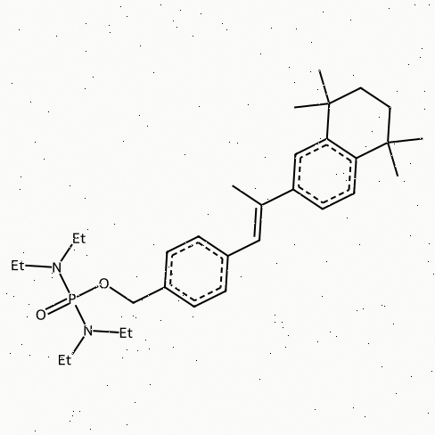 CCN(CC)P(=O)(OCc1ccc(/C=C(\C)c2ccc3c(c2)C(C)(C)CCC3(C)C)cc1)N(CC)CC